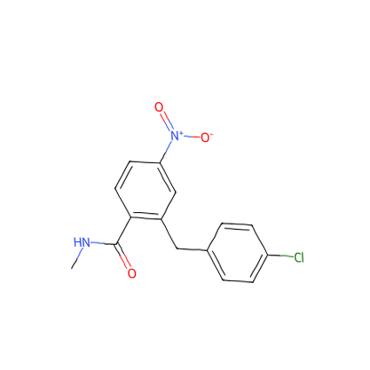 CNC(=O)c1ccc([N+](=O)[O-])cc1Cc1ccc(Cl)cc1